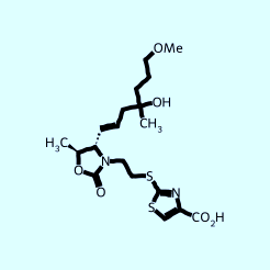 COCCCC(C)(O)C/C=C/[C@H]1[C@H](C)OC(=O)N1CCSc1nc(C(=O)O)cs1